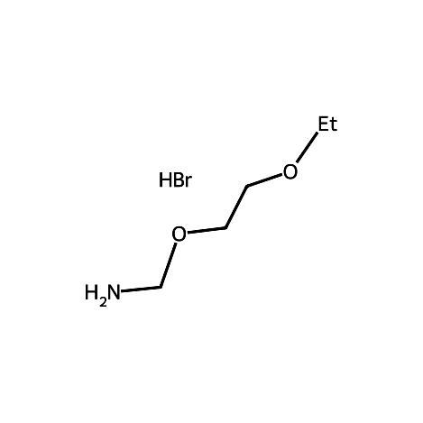 Br.CCOCCOCN